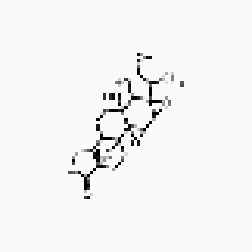 CC(CO)C12OC1C1OC13C1(C)CCC4=C(COC4=O)C1CCC3(O)C2O